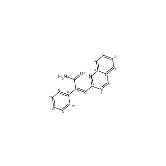 NC(=O)C(=Cc1ncc2ccccc2n1)c1ccccc1